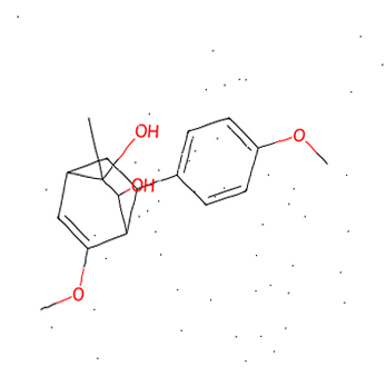 COC1=CC2CC(c3ccc(OC)cc3)C1C(O)C2(C)O